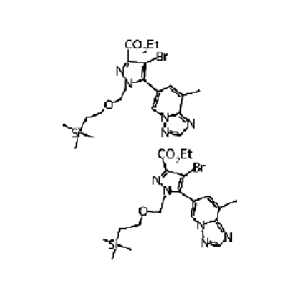 CCOC(=O)c1nn(COCC[Si](C)(C)C)c(-c2cc(C)c3ncnn3c2)c1Br.CCOC(=O)c1nn(COCC[Si](C)(C)C)c(-c2cc(C)c3ncnn3c2)c1Br